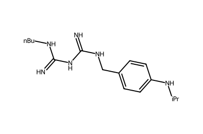 CCCCNC(=N)NC(=N)NCc1ccc(NC(C)C)cc1